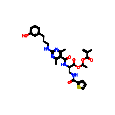 C=C(C)C(=O)OC(C)OC(=O)[C@H](CNC(=O)c1cccs1)NC(=O)c1c(C)nc(NCCCc2cccc(O)c2)nc1C